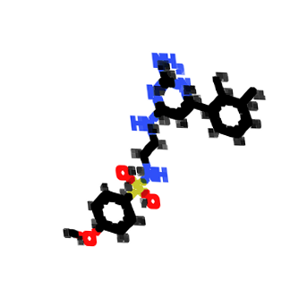 COc1ccc(S(=O)(=O)NCCNc2cc(-c3cccc(C)c3C)nc(N)n2)cc1